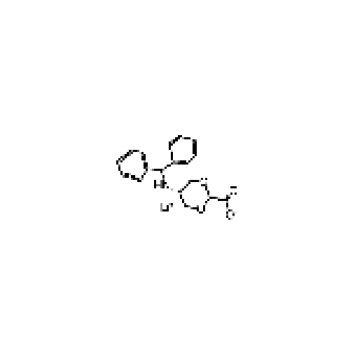 O=C([O-])[C@H]1OC[C@H](NC(c2ccccc2)c2ccccc2)CO1.[Li+]